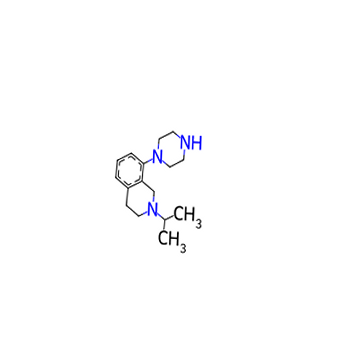 CC(C)N1CCc2cccc(N3CCNCC3)c2C1